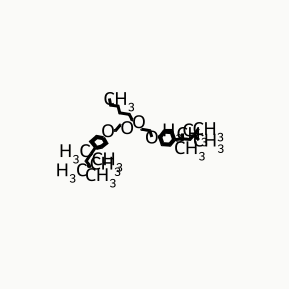 CCCCCC(OCCOc1ccc(C(C)(C)CC(C)(C)C)cc1)OCCOc1ccc(C(C)(C)CC(C)(C)C)cc1